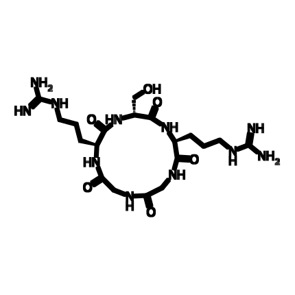 N=C(N)NCCC[C@@H]1NC(=O)CNC(=O)CNC(=O)[C@H](CCCNC(=N)N)NC(=O)[C@@H](CO)NC1=O